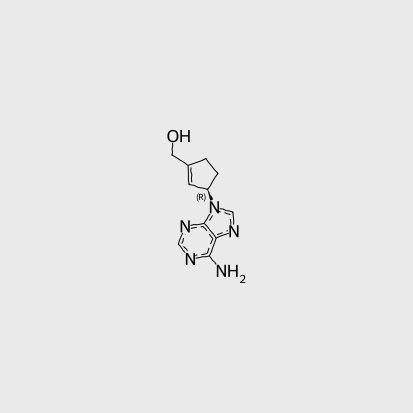 Nc1ncnc2c1ncn2[C@H]1C=C(CO)CC1